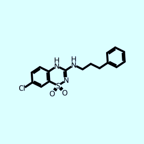 O=S1(=O)N=C(NCCCc2ccccc2)Nc2ccc(Cl)cc21